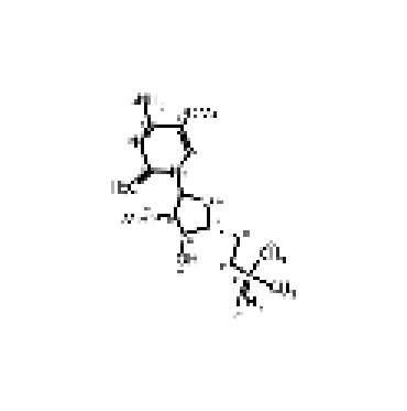 C=C1N=C(N)C(OC)=CN1C1O[C@H](CCP(=C)(C)C)[C@@H](O)[C@H]1OC